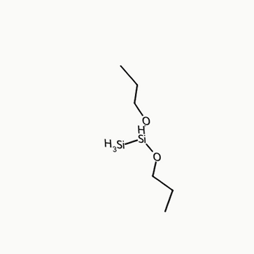 CCCO[SiH]([SiH3])OCCC